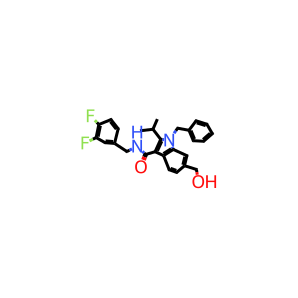 CC(C)c1c(C(=O)NCc2ccc(F)c(F)c2)c2ccc(CO)cc2n1Cc1ccccc1